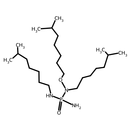 CC(C)CCCCCNP(N)(=O)N(CCCCCC(C)C)OCCCCCC(C)C